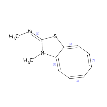 C/N=c1/sc2/c(n1C)=C\C=C/C=C\C=2